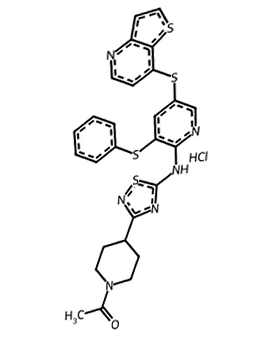 CC(=O)N1CCC(c2nsc(Nc3ncc(Sc4ccnc5ccsc45)cc3Sc3ccccc3)n2)CC1.Cl